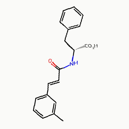 Cc1cccc(C=CC(=O)N[C@H](Cc2ccccc2)C(=O)O)c1